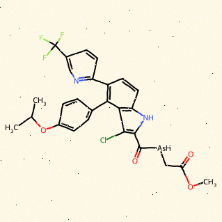 COC(=O)C[AsH]C(=O)c1[nH]c2ccc(-c3ccc(C(F)(F)F)cn3)c(-c3ccc(OC(C)C)cc3)c2c1Cl